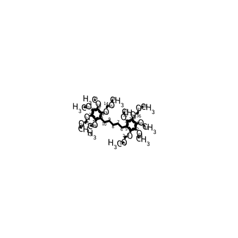 COCOc1c(CCCCCc2c(OCOC)c(OC)c(OC)c(OCOC)c2OC)c(OC)c(OCOC)c(OC)c1OC